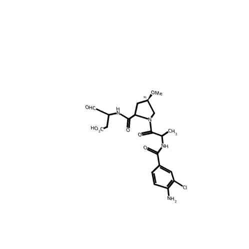 CO[C@@H]1CC(C(=O)NC(C=O)CC(=O)O)N(C(=O)C(C)NC(=O)c2ccc(N)c(Cl)c2)C1